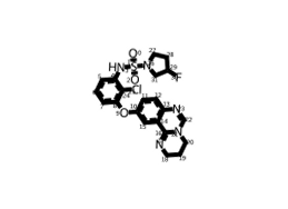 O=S(=O)(Nc1cccc(Oc2ccc3c(c2)C2=NCCCN2C=N3)c1Cl)N1CCC(F)C1